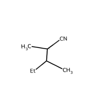 CCC(C)[C](C)C#N